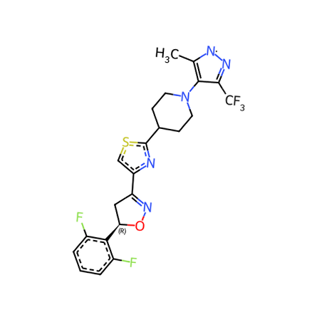 CC1=C(N2CCC(c3nc(C4=NO[C@@H](c5c(F)cccc5F)C4)cs3)CC2)C(C(F)(F)F)=N[N]1